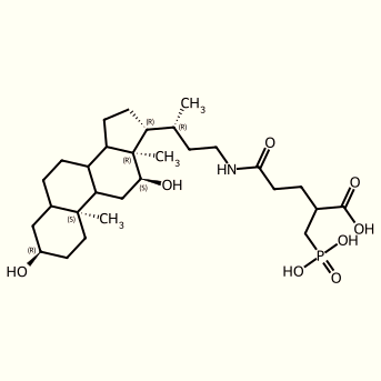 C[C@H](CCNC(=O)CCC(CP(=O)(O)O)C(=O)O)[C@H]1CCC2C3CCC4C[C@H](O)CC[C@]4(C)C3C[C@H](O)[C@@]21C